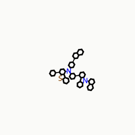 c1ccc(-c2ccc(N(c3ccc(-c4ccc5ccccc5c4)cc3)c3cccc(-c4cccc5c4c4ccccc4n5-c4cccc5ccccc45)c3)c3c2sc2ccccc23)cc1